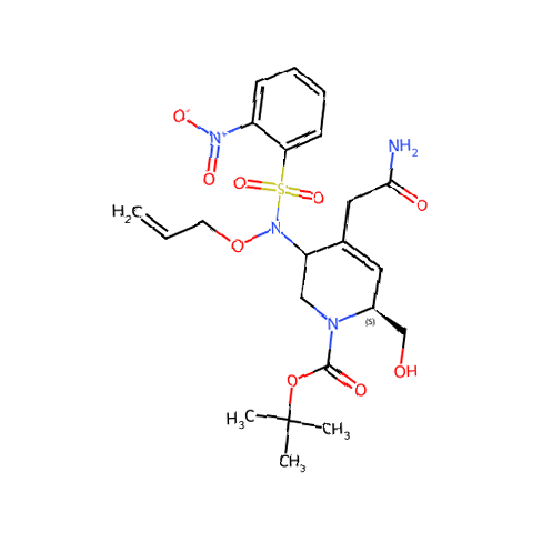 C=CCON(C1CN(C(=O)OC(C)(C)C)[C@H](CO)C=C1CC(N)=O)S(=O)(=O)c1ccccc1[N+](=O)[O-]